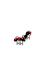 CC(=O)OC1(C)CCC(c2ccc(NC(=O)c3nnc(Nc4cccc(NC(=O)c5ccccc5)c4)o3)cc2)CC1